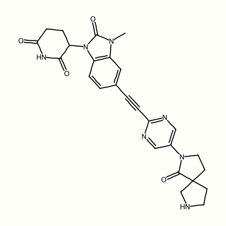 Cn1c(=O)n(C2CCC(=O)NC2=O)c2ccc(C#Cc3ncc(N4CCC5(CCNC5)C4=O)cn3)cc21